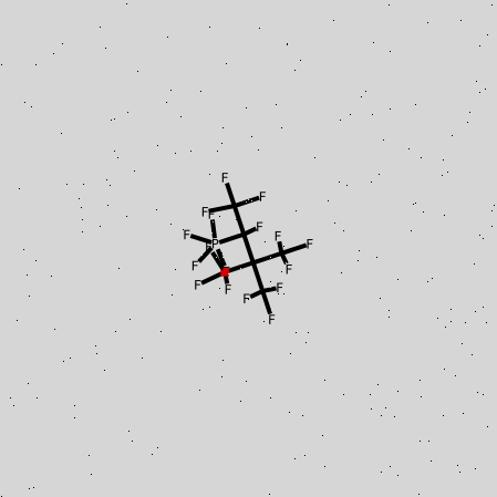 FC(F)(F)C(C(F)(F)F)(C(F)(F)F)C(F)(C(F)(F)F)P(F)(F)(F)F